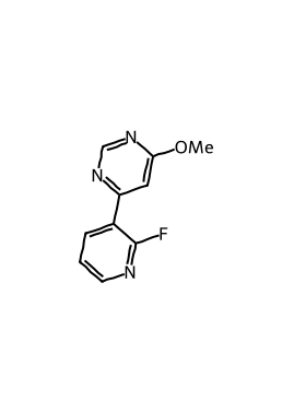 COc1cc(-c2cccnc2F)ncn1